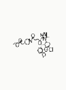 CCOC(=O)CC1CCN(C(=O)CC[C@@H]2O[C@@H](c3cccc(OC)c3OC)c3cc(Cl)ccc3-n3c(C)nnc32)CC1